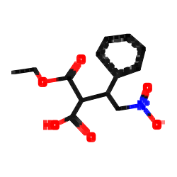 CCOC(=O)C(C(=O)O)C(C[N+](=O)[O-])c1ccccc1